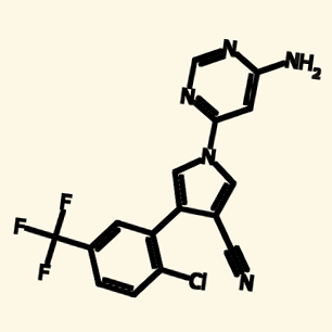 N#Cc1cn(-c2cc(N)ncn2)cc1-c1cc(C(F)(F)F)ccc1Cl